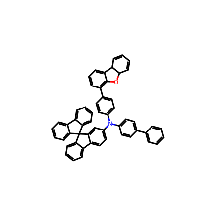 C1=CC2Oc3c(-c4ccc(N(c5ccc(-c6ccccc6)cc5)c5ccc6c(c5)C5(c7ccccc7-c7ccccc75)c5ccccc5-6)cc4)cccc3C2C=C1